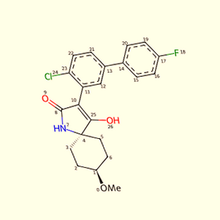 CO[C@H]1CC[C@]2(CC1)NC(=O)C(c1cc(-c3ccc(F)cc3)ccc1Cl)=C2O